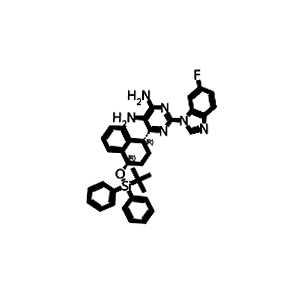 CC(C)(C)[Si](O[C@@H]1CC[C@@H](c2nc(-n3cnc4ccc(F)cc43)nc(N)c2N)c2ccccc21)(c1ccccc1)c1ccccc1